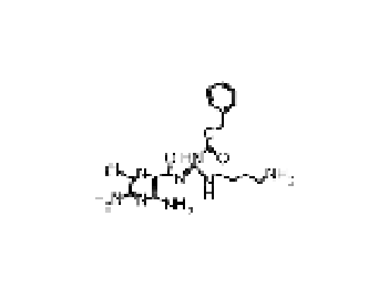 NCCCCN/C(=N/C(=O)c1nc(Cl)c(N)nc1N)NC(=O)OCc1ccccc1